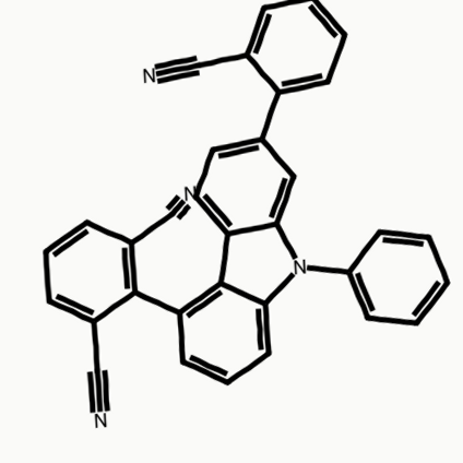 N#Cc1ccccc1-c1ccc2c3c(-c4c(C#N)cccc4C#N)cccc3n(-c3ccccc3)c2c1